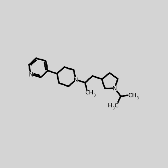 CC(C)N1CCC(CC(C)N2CCC(c3cccnc3)CC2)C1